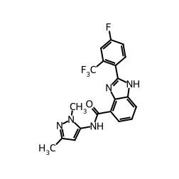 Cc1cc(NC(=O)c2cccc3[nH]c(-c4ccc(F)cc4C(F)(F)F)nc23)n(C)n1